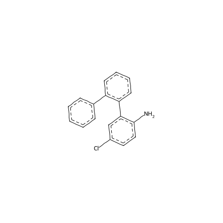 Nc1ccc(Cl)cc1-c1ccccc1-c1ccccc1